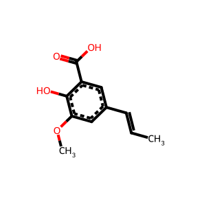 CC=Cc1cc(OC)c(O)c(C(=O)O)c1